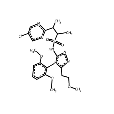 COCCc1nnc(NS(=O)(=O)C(C)C(C)c2ncc(Cl)cn2)n1-c1c(OC)cccc1OC